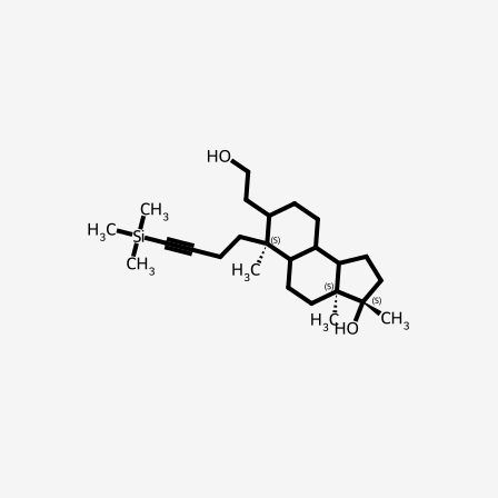 C[C@]1(CCC#C[Si](C)(C)C)C(CCO)CCC2C1CC[C@@]1(C)C2CC[C@]1(C)O